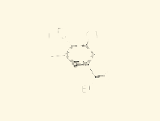 CCC(=O)c1cc(C)c(O)c(C(F)(F)F)c1